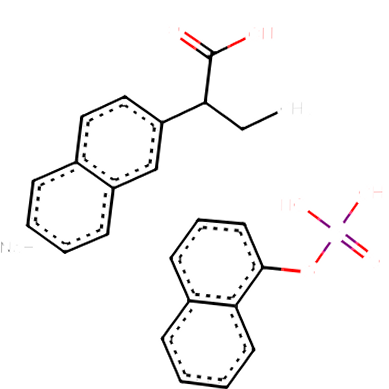 CCC(C(=O)O)c1ccc2ccccc2c1.O=P(O)(O)Oc1cccc2ccccc12.[NaH]